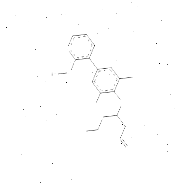 C=CCC(CCC(=O)O)Sc1c(F)cc(-c2cccnc2OC(C)C)cc1F